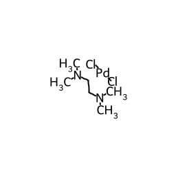 CN(C)CCN(C)C.[Cl][Pd][Cl]